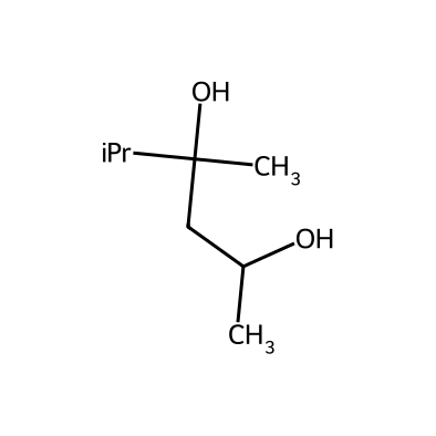 CC(O)CC(C)(O)C(C)C